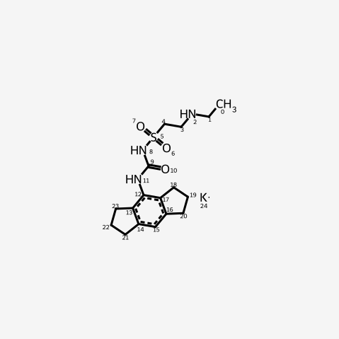 CCNCCS(=O)(=O)NC(=O)Nc1c2c(cc3c1CCC3)CCC2.[K]